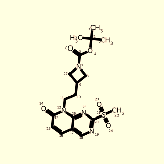 CC(C)(C)OC(=O)N1CC(CCn2c(=O)ccc3cnc(S(C)(=O)=O)nc32)C1